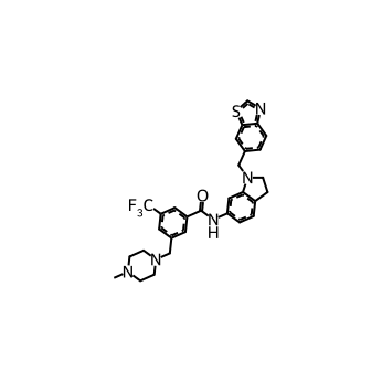 CN1CCN(Cc2cc(C(=O)Nc3ccc4c(c3)N(Cc3ccc5ncsc5c3)CC4)cc(C(F)(F)F)c2)CC1